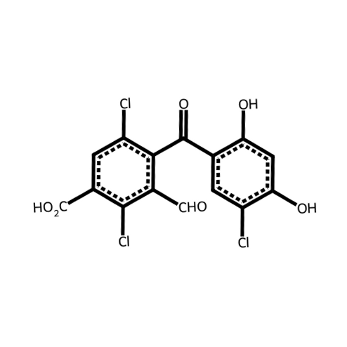 O=Cc1c(Cl)c(C(=O)O)cc(Cl)c1C(=O)c1cc(Cl)c(O)cc1O